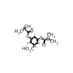 CN(C)C(=O)Sc1cc(SC(=O)N(C)C)cc(C(=O)O)c1